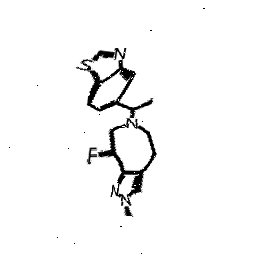 CC(c1ccc2scnc2c1)N1CCc2cn(C)nc2C(F)C1